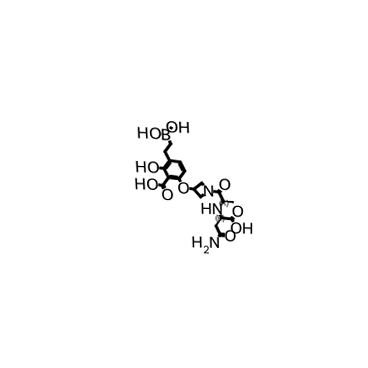 C[C@@H](N[C@H](CC(N)=O)C(=O)O)C(=O)N1CC(Oc2ccc(CCB(O)O)c(O)c2C(=O)O)C1